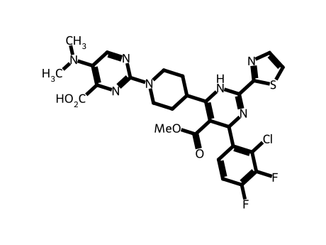 COC(=O)C1=C(C2CCN(c3ncc(N(C)C)c(C(=O)O)n3)CC2)NC(c2nccs2)=NC1c1ccc(F)c(F)c1Cl